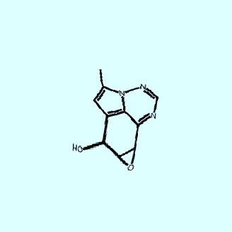 Cc1cc2c3c(ncnn13)C1OC1C2O